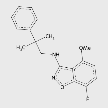 COc1ccc(F)c2onc(NCC(C)(C)c3ccccc3)c12